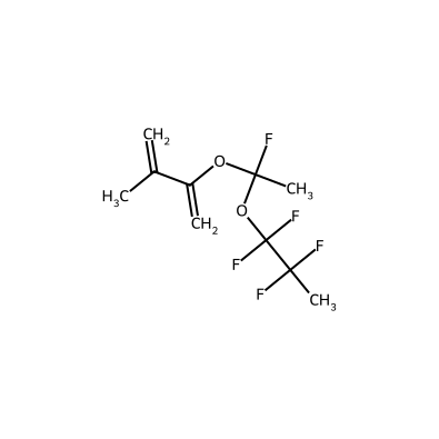 C=C(C)C(=C)OC(C)(F)OC(F)(F)C(C)(F)F